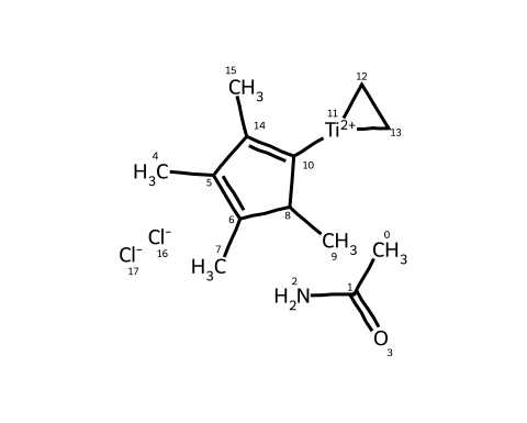 CC(N)=O.CC1=C(C)C(C)[C]([Ti+2]2[CH2][CH2]2)=C1C.[Cl-].[Cl-]